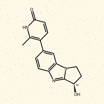 Cc1[nH]c(=O)ccc1-c1ccc2nc3n(c2c1)CC[C@H]3O